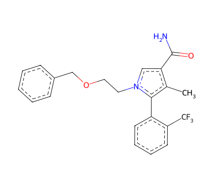 Cc1c(C(N)=O)cn(CCOCc2ccccc2)c1-c1ccccc1C(F)(F)F